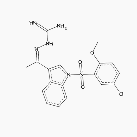 COc1ccc(Cl)cc1S(=O)(=O)n1cc(/C(C)=N\NC(=N)N)c2ccccc21